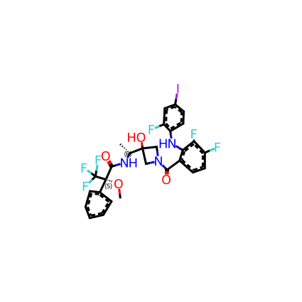 CO[C@](C(=O)N[C@H](C)C1(O)CN(C(=O)c2ccc(F)c(F)c2Nc2ccc(I)cc2F)C1)(c1ccccc1)C(F)(F)F